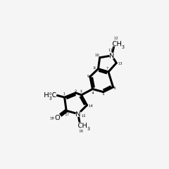 Cc1cc(-c2ccc3c(c2)CN(C)C3)cn(C)c1=O